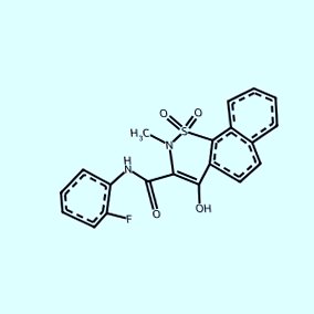 CN1C(C(=O)Nc2ccccc2F)=C(O)c2ccc3ccccc3c2S1(=O)=O